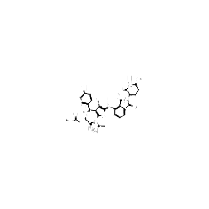 COC(=O)C[C@@H]1N=C(c2ccc(Cl)cc2)c2c(sc(Nc3cccc4c3C(=O)N(C3CCC(=O)NC3=O)C4=O)c2C)-n2c(C)nnc21